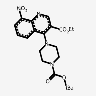 CCOC(=O)c1cnc2c([N+](=O)[O-])cccc2c1N1CCN(C(=O)OC(C)(C)C)CC1